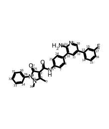 Cc1c(C(=O)Nc2ccc(-c3cc(-c4cccc(F)c4)cnc3N)cc2)c(=O)n(-c2ccccc2)n1C